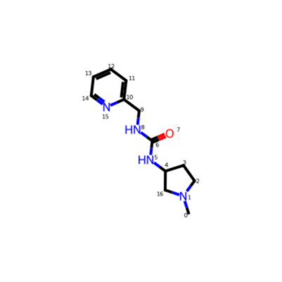 CN1CCC(NC(=O)NCc2ccccn2)C1